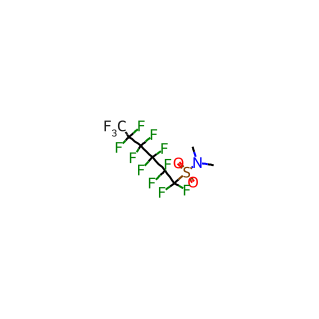 CN(C)S(=O)(=O)C(F)(F)C(F)(F)C(F)(F)C(F)(F)C(F)(F)C(F)(F)F